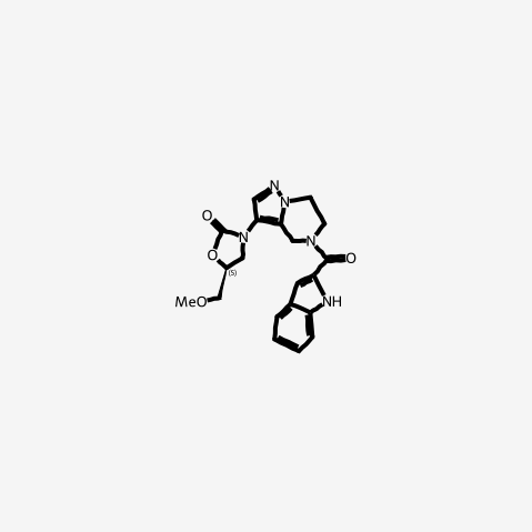 COC[C@@H]1CN(c2cnn3c2CN(C(=O)c2cc4ccccc4[nH]2)CC3)C(=O)O1